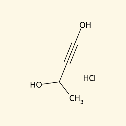 CC(O)C#CO.Cl